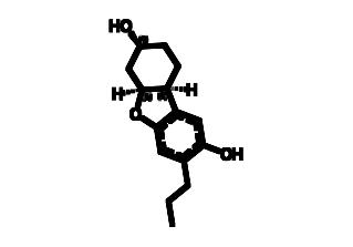 CCCc1cc2c(cc1O)[C@@H]1CC[C@H](O)C[C@@H]1O2